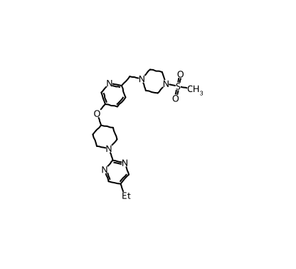 CCc1cnc(N2CCC(Oc3ccc(CN4CCN(S(C)(=O)=O)CC4)nc3)CC2)nc1